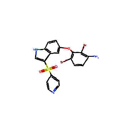 Nc1[c]cc(Br)c(Oc2ccc3[nH]cc(S(=O)(=O)c4ccncc4)c3c2)c1Br